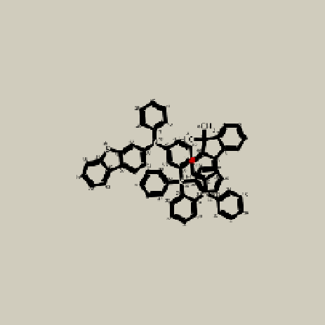 CC1(C)c2ccccc2-c2cc(N(c3ccccc3)c3ccccc3S(c3ccccc3)(c3ccccc3)c3cccc(N(c4ccccc4)c4ccc5c(c4)sc4ccccc45)c3)ccc21